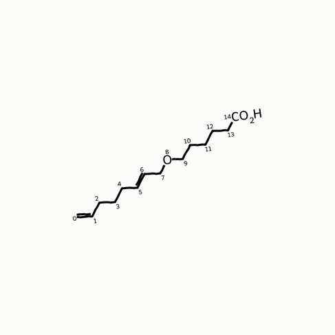 C=CCCCC=CCOCCCCCC(=O)O